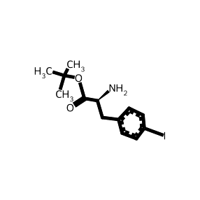 CC(C)(C)OC(=O)[C@@H](N)Cc1ccc(I)cc1